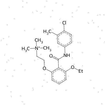 CCOc1cccc(OCC[N+](C)(C)C)c1C(=O)Nc1ccc(Cl)c(C)c1